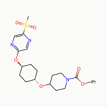 CC(C)OC(=O)N1CCC(O[C@H]2CC[C@H](Oc3cnc(S(C)(=O)=O)cn3)CC2)CC1